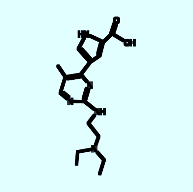 CCN(CC)CCNc1ncc(C)c(-c2c[nH]c(C(=O)O)c2)n1